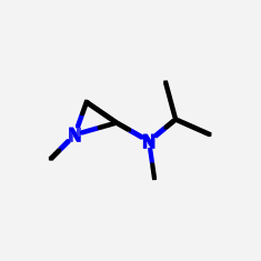 CC(C)N(C)C1CN1C